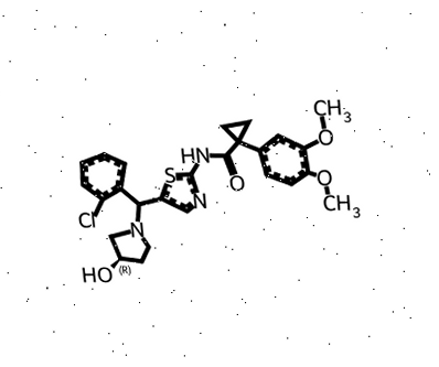 COc1ccc(C2(C(=O)Nc3ncc(C(c4ccccc4Cl)N4CC[C@@H](O)C4)s3)CC2)cc1OC